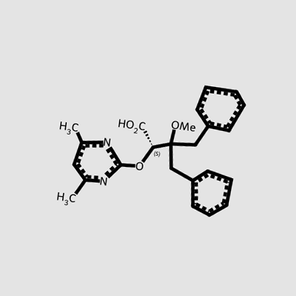 COC(Cc1ccccc1)(Cc1ccccc1)[C@H](Oc1nc(C)cc(C)n1)C(=O)O